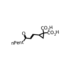 CCCCCC(=O)/C=C/C1CC1(C(=O)O)C(=O)O